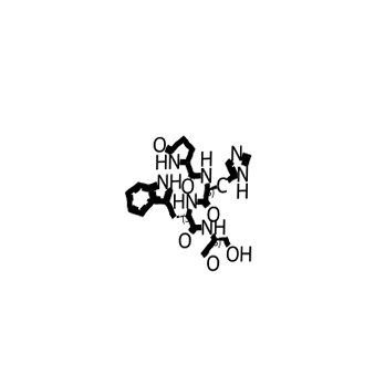 O=C[C@H](CO)NC(=O)[C@H](Cc1c[nH]c2ccccc12)NC(=O)[C@H](Cc1cnc[nH]1)NC(=O)C1CCC(=O)N1